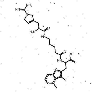 Cc1cccc2oc(CC(NC(=O)CCCCNC(=O)C(N)CC3=CCN(C(=N)N)C3)C(=O)O)c(C)c12